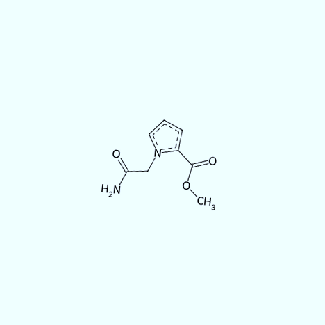 COC(=O)c1cccn1CC(N)=O